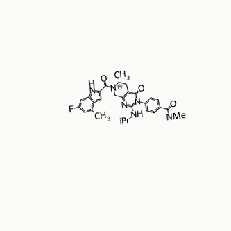 CNC(=O)c1ccc(-n2c(NC(C)C)nc3c(c2=O)C[C@@H](C)N(C(=O)c2cc4c(C)cc(F)cc4[nH]2)C3)cc1